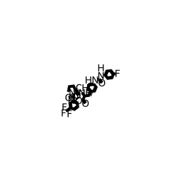 C[C@@]1(C(=O)NC(Cc2ccc(NC(=O)Nc3ccc(F)cc3)cc2)C(=O)O)CCCN1S(=O)(=O)c1cccc(C(F)(F)F)c1